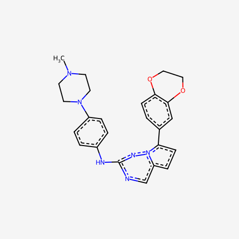 CN1CCN(c2ccc(Nc3ncc4ccc(-c5ccc6c(c5)OCCO6)n4n3)cc2)CC1